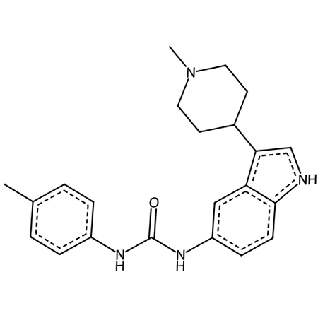 Cc1ccc(NC(=O)Nc2ccc3[nH]cc(C4CCN(C)CC4)c3c2)cc1